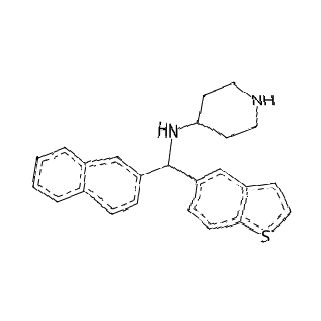 c1ccc2cc(C(NC3CCNCC3)c3ccc4sccc4c3)ccc2c1